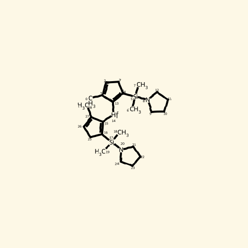 CC1=CCC([Si](C)(C)N2CCCC2)=[C]1[Hf][C]1=C([Si](C)(C)N2CCCC2)CC=C1C